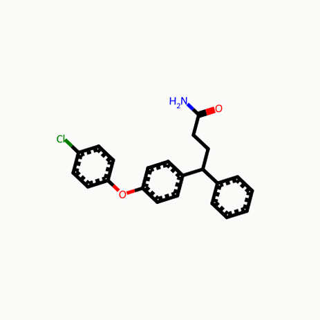 NC(=O)CCC(c1ccccc1)c1ccc(Oc2ccc(Cl)cc2)cc1